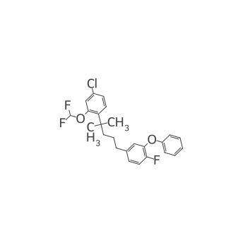 CC(C)(CCCc1ccc(F)c(Oc2ccccc2)c1)c1ccc(Cl)cc1OC(F)F